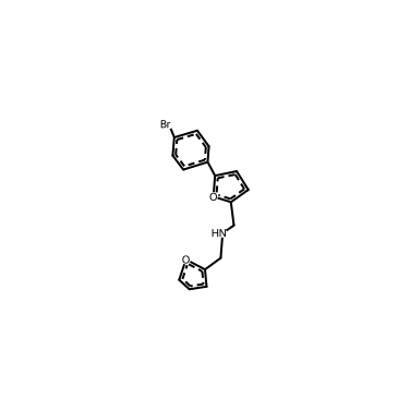 Brc1ccc(-c2ccc(CNCc3ccco3)o2)cc1